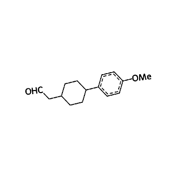 COc1ccc(C2CCC(CC=O)CC2)cc1